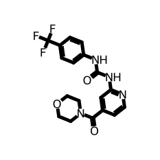 O=C(Nc1ccc(C(F)(F)F)cc1)Nc1cc(C(=O)N2CCOCC2)ccn1